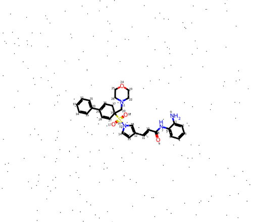 Nc1ccccc1NC(=O)C=Cc1ccn(S(=O)(=O)C2(CN3CCOCC3)C=CC(c3ccccc3)=CC2)c1